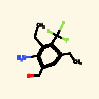 CCc1cc(C=O)c(N)c(CC)c1C(F)(F)F